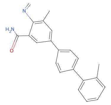 C=Nc1c(C)cc(-c2ccc(-c3ccccc3C)cc2)cc1C(N)=O